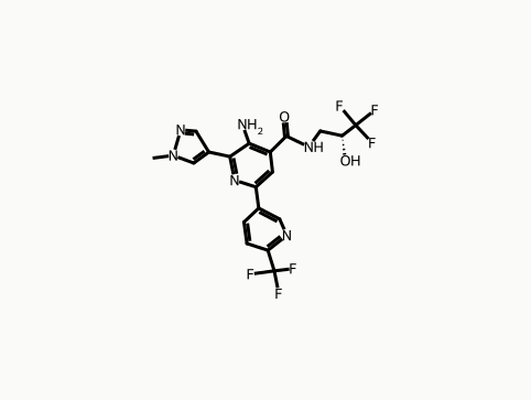 Cn1cc(-c2nc(-c3ccc(C(F)(F)F)nc3)cc(C(=O)NC[C@@H](O)C(F)(F)F)c2N)cn1